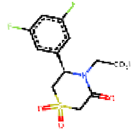 O=C(O)CN1C(=O)CS(=O)(=O)C[C@H]1c1cc(F)cc(F)c1